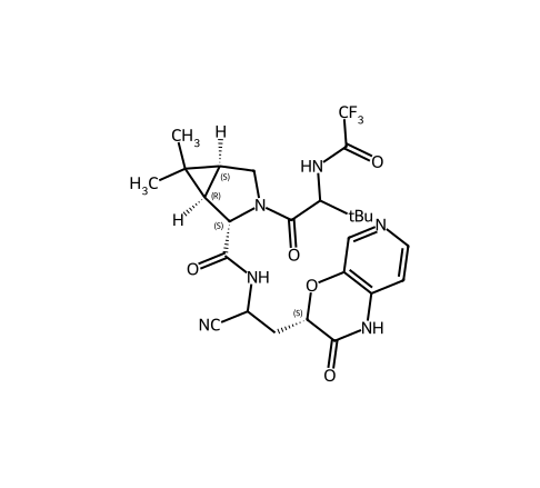 CC(C)(C)C(NC(=O)C(F)(F)F)C(=O)N1C[C@H]2[C@@H]([C@H]1C(=O)NC(C#N)C[C@@H]1Oc3cnccc3NC1=O)C2(C)C